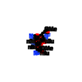 CCCCOC1[C@H](N=[N+]=[N-])C(C)O[C@H](O[C@@H]2C(OCCCC)[C@H](N=[N+]=[N-])C(C)O[C@@H]2O[C@@H]2C(OCCCC)[C@H](N=[N+]=[N-])C(C)O[C@@H]2O[C@@H]2C(OCCCC)[C@H](N=[N+]=[N-])C(C)O[C@@H]2OCCCCCC(=O)OC)[C@@H]1OC